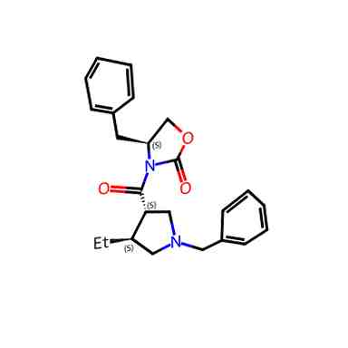 CC[C@@H]1CN(Cc2ccccc2)C[C@H]1C(=O)N1C(=O)OC[C@@H]1Cc1ccccc1